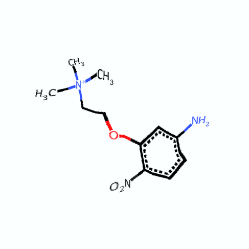 C[N+](C)(C)CCOc1cc(N)ccc1[N+](=O)[O-]